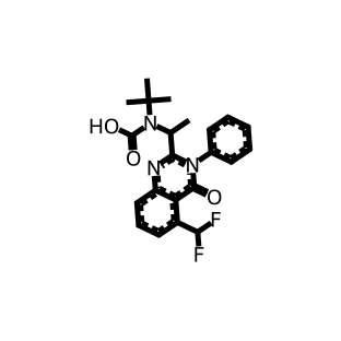 CC(c1nc2cccc(C(F)F)c2c(=O)n1-c1ccccc1)N(C(=O)O)C(C)(C)C